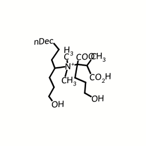 CCCCCCCCCCCCC(CCCO)[N+](C)(C)C(CCCO)(C(=O)[O-])C(C)C(=O)O